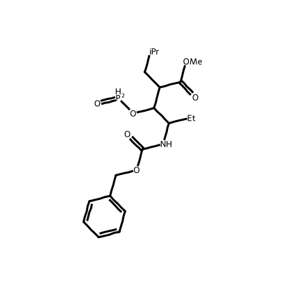 CCC(NC(=O)OCc1ccccc1)C(O[PH2]=O)C(CC(C)C)C(=O)OC